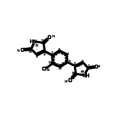 O=C1C=C(c2ccc(C3=CC(=O)NC3=O)c(Cl)c2)C(=O)N1